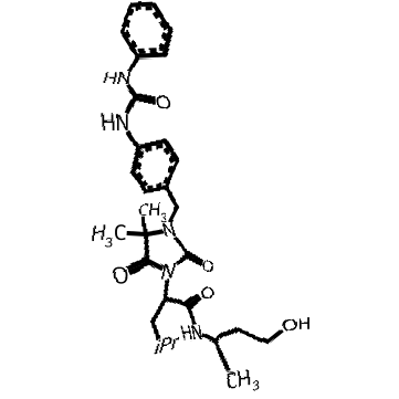 CC(C)CC(C(=O)NC(C)CCO)N1C(=O)N(Cc2ccc(NC(=O)Nc3ccccc3)cc2)C(C)(C)C1=O